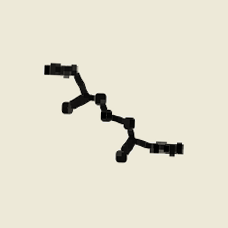 CCCCCCCC(=O)OOOC(=O)CCCCCCC